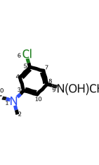 CC(C)N(C)c1cc(Cl)cc(N(C)O)c1